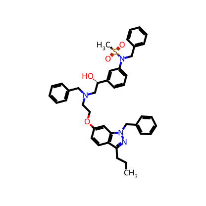 CCCc1nn(Cc2ccccc2)c2cc(OCCN(Cc3ccccc3)C[C@H](O)c3cccc(N(Cc4ccccc4)S(C)(=O)=O)c3)ccc12